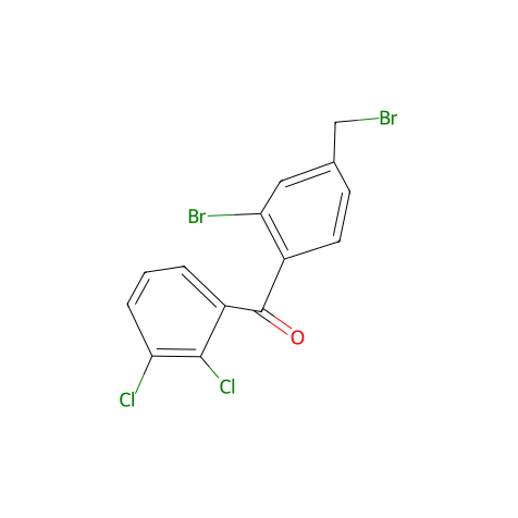 O=C(c1ccc(CBr)cc1Br)c1cccc(Cl)c1Cl